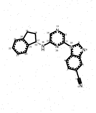 N#Cc1ccc2c(c1)ncn2-c1cncc(N[C@H]2CCc3ccccc32)n1